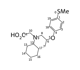 CSc1ccc(OC(C)CN(CC(=O)O)C2CCCCC2)cc1